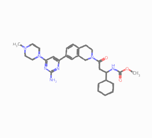 COC(=O)NC(CC(=O)N1CCc2ccc(-c3cc(N4CCN(C)CC4)nc(N)n3)cc2C1)C1CCCCC1